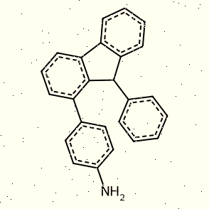 Nc1ccc(-c2cccc3c2C(c2ccccc2)c2ccccc2-3)cc1